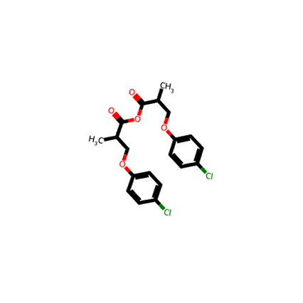 CC(COc1ccc(Cl)cc1)C(=O)OC(=O)C(C)COc1ccc(Cl)cc1